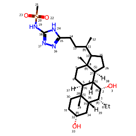 CC[C@H]1[C@@H](O)[C@@H]2[C@H](CC[C@]3(C)C([C@H](C)CCc4nnc(NS(C)(=O)=O)[nH]4)CC[C@@H]23)[C@@]2(C)CC[C@@H](O)C[C@@H]12